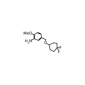 COc1ccc(COC2CCC(F)(F)CC2)cc1N